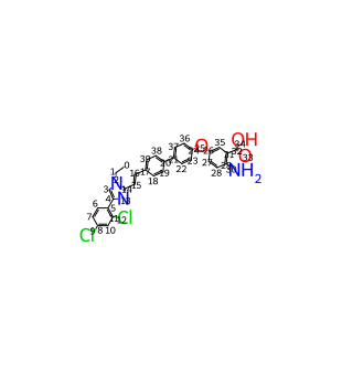 CCn1cc(-c2ccc(Cl)cc2Cl)nc1/C=C/c1ccc(-c2ccc(Oc3ccc(N)c(C(=O)O)c3)cc2)cc1